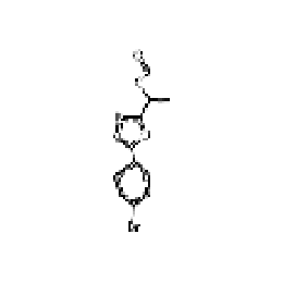 CC(OC=O)c1nnc(-c2ccc(Br)cc2)o1